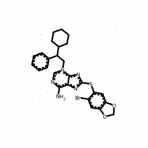 Nc1ncn(CC(c2ccccc2)C2CCCCC2)c2nc(Sc3cc4c(cc3Br)OCO4)nc1-2